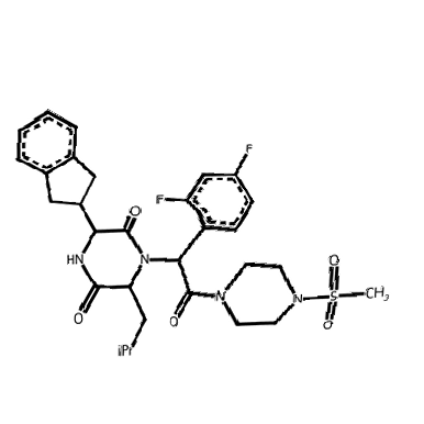 CC(C)CC1C(=O)NC(C2Cc3ccccc3C2)C(=O)N1C(C(=O)N1CCN(S(C)(=O)=O)CC1)c1ccc(F)cc1F